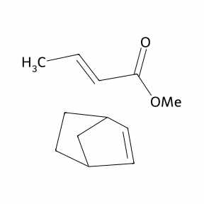 C/C=C/C(=O)OC.C1=CC2CCC1C2